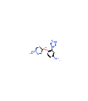 CN1CCC(Oc2ccc(N)cc2-n2cnnc2)CC1